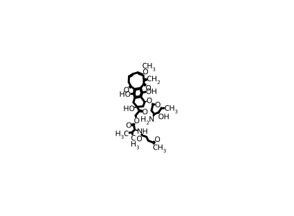 C=C1C(=O)c2c(O)c3c(c(O)c2C(=O)C/C=C\C=C/1OC)C[C@@](O)(C(=O)COC(=O)[C@@H](NC(=O)CCC(C)=O)C(C)C)C[C@@H]3OC1CC(N)C(O)C(C)O1